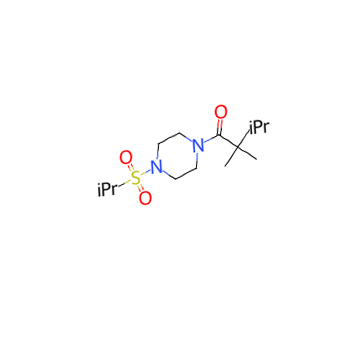 CC(C)C(C)(C)C(=O)N1CCN(S(=O)(=O)C(C)C)CC1